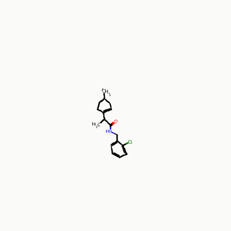 CC1CC=C(C(C)C(=O)NCc2ccccc2Cl)CC1